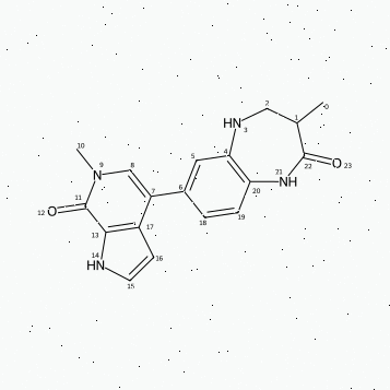 CC1CNc2cc(-c3cn(C)c(=O)c4[nH]ccc34)ccc2NC1=O